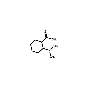 CN(C)C1CCCCC1C(=O)O